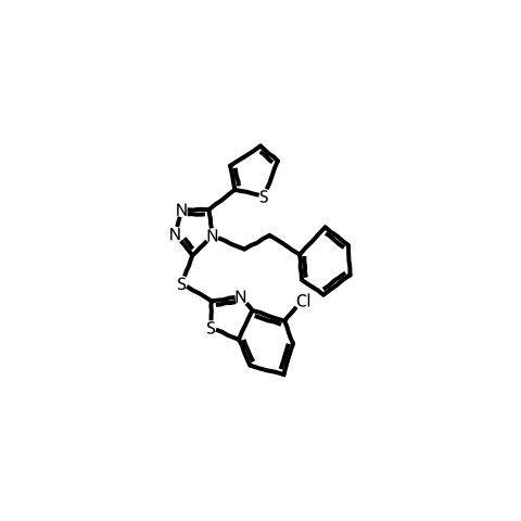 Clc1cccc2sc(Sc3nnc(-c4cccs4)n3CCc3ccccc3)nc12